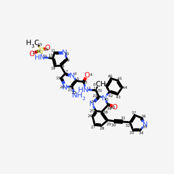 C[C@H](NC(=O)c1nc(-c2cncc(NS(C)(=O)=O)c2)cnc1N)c1nc2cccc(C#Cc3ccncc3)c2c(=O)n1-c1ccccc1